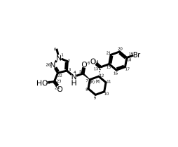 Cn1cc(NC(=O)[C@@H]2CCCC[C@H]2C(=O)c2ccc(Br)cc2)c(C(=O)O)n1